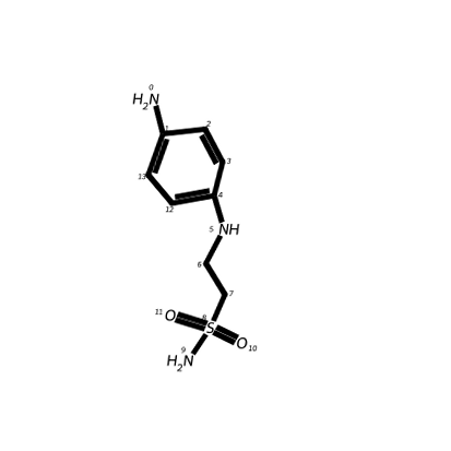 Nc1ccc(NCCS(N)(=O)=O)cc1